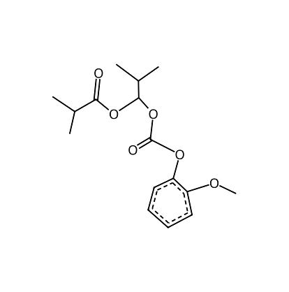 COc1ccccc1OC(=O)OC(OC(=O)C(C)C)C(C)C